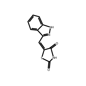 O=C1NC(=O)C(=Cc2n[nH]c3ccccc23)S1